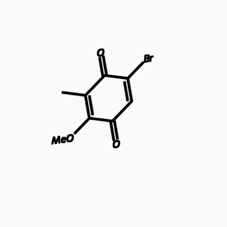 COC1=C(C)C(=O)C(Br)=CC1=O